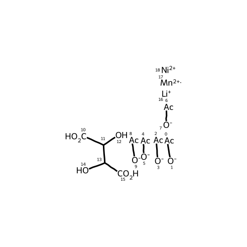 CC(=O)[O-].CC(=O)[O-].CC(=O)[O-].CC(=O)[O-].CC(=O)[O-].O=C(O)C(O)C(O)C(=O)O.[Li+].[Mn+2].[Ni+2]